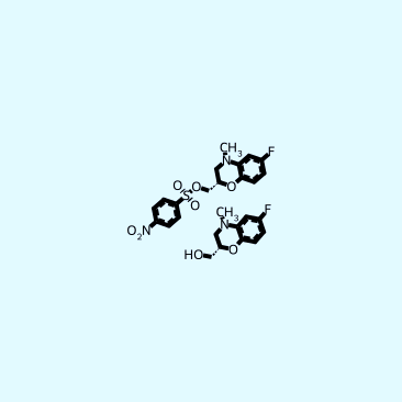 CN1C[C@@H](CO)Oc2ccc(F)cc21.CN1C[C@@H](COS(=O)(=O)c2ccc([N+](=O)[O-])cc2)Oc2ccc(F)cc21